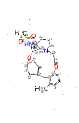 Cc1cccc2c1C1CCC(CC1)OC[C@H]1[C@@H](NS(C)(=O)=O)CCCN1CCO2